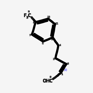 O=C/C=C\CCc1ccc(C(F)(F)F)cc1